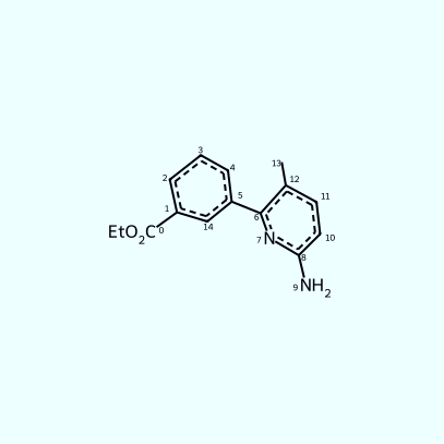 CCOC(=O)c1cccc(-c2nc(N)ccc2C)c1